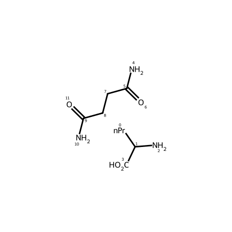 CCCC(N)C(=O)O.NC(=O)CCC(N)=O